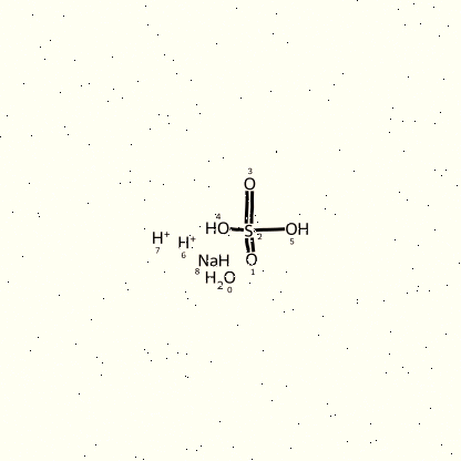 O.O=S(=O)(O)O.[H+].[H+].[NaH]